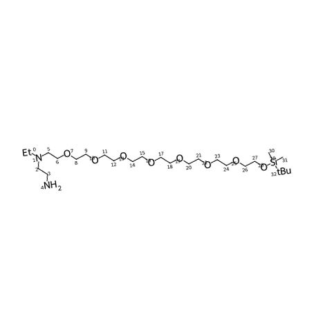 CCN(CCN)CCOCCOCCOCCOCCOCCOCCOCCO[Si](C)(C)C(C)(C)C